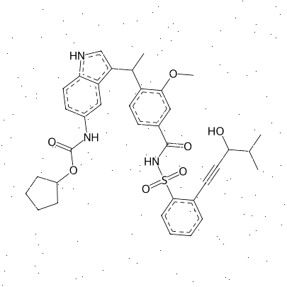 COc1cc(C(=O)NS(=O)(=O)c2ccccc2C#CC(O)C(C)C)ccc1C(C)c1c[nH]c2ccc(NC(=O)OC3CCCC3)cc12